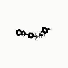 O=S(=O)(Nc1nc2cc(Cl)ccc2o1)c1ccc(-c2nc3ccccc3s2)cc1